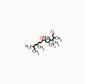 C=CC(=C)/C=C(C)/C=C/C(=O)[C@H](C)C[C@H](C)C(=C)C(=C)C(=C)CC=O